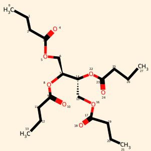 CCCC(=O)OC[C@H](OC(=O)CCC)[C@@H](COC(=O)CCC)OC(=O)CCC